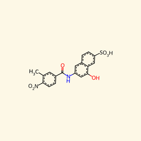 Cc1cc(C(=O)Nc2cc(O)c3cc(S(=O)(=O)O)ccc3c2)ccc1[N+](=O)[O-]